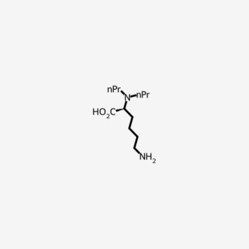 CCCN(CCC)[C@@H](CCCCN)C(=O)O